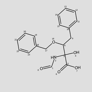 O=CNC(O)(C(=O)O)C(Cc1ccccc1)OCc1ccccc1